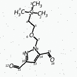 C[Si](C)(C)CCOCn1nc(C=O)cc1C=O